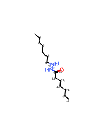 CCCCCCCNNC(=O)CCCCCC